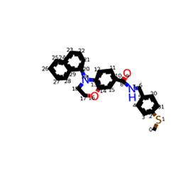 CSc1ccc(CNC(=O)c2ccc3c(c2)OCCN3c2cccc3ccccc23)cc1